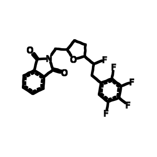 O=C1c2ccccc2C(=O)N1CC1CCC(C(F)Cc2cc(F)c(F)c(F)c2F)O1